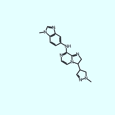 CN1CC(C2CN=C3C(Nc4ccc5c(c4)ncn5C)=NC=CN32)C=N1